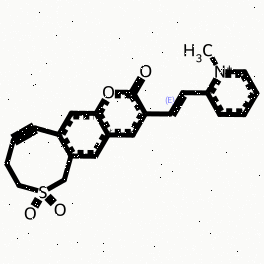 C[n+]1ccccc1/C=C/c1cc2cc3c(cc2oc1=O)C#CCCS(=O)(=O)C3